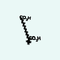 O=C(O)CCCCCCCCCCCCCC(C(=O)O)C1CCC1